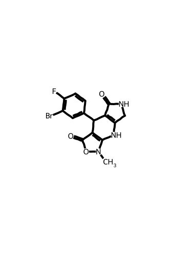 Cn1oc(=O)c2c1NC1=C(C(=O)NC1)C2c1ccc(F)c(Br)c1